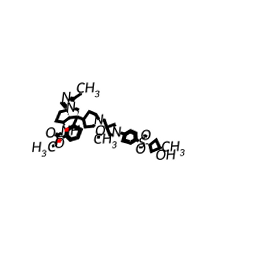 CCc1nccn1C[C@@](c1cccc(F)c1)(C1CCN(CC2(OC)CN(c3ccc(S(=O)(=O)[C@H]4C[C@@](C)(O)C4)cc3)C2)CC1)[C@H]1CCC[C@@H]1NC(=O)OC